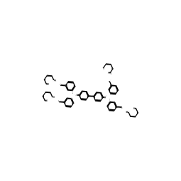 c1cc(COC2CCCCO2)cc(N(c2ccc(-c3ccc(N(c4cccc(COC5CCCCO5)c4)c4cccc(COC5CCCCO5)c4)cc3)cc2)c2cccc(COC3CCCCO3)c2)c1